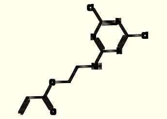 C=CC(=O)OCCNc1nc(Cl)nc(Cl)n1